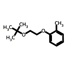 Cc1ccccc1OCCOC(C)(C)C